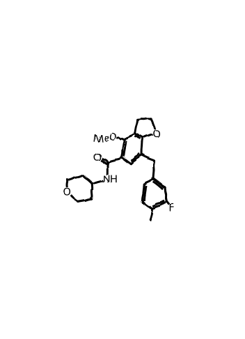 COc1c(C(=O)NC2CCOCC2)cc(Cc2ccc(C)c(F)c2)c2c1CCO2